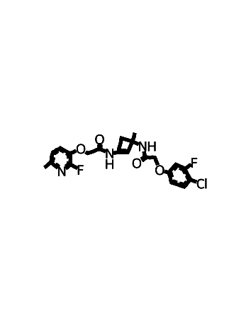 Cc1ccc(OCC(=O)NC2=CC(C)(NC(=O)COc3ccc(Cl)c(F)c3)C2)c(F)n1